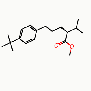 COC(=O)[C@@H](CCCc1ccc(C(C)(C)C)cc1)C(C)C